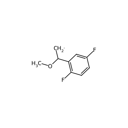 [CH2]C(OC)c1cc(F)ccc1F